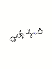 O=C(/C=C/c1cccnc1)NCC[C@@H]1[C@H]2CN(c3ccncn3)C[C@@H]12